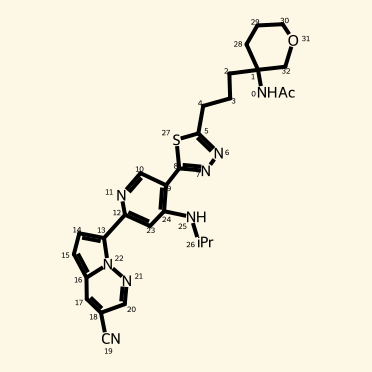 CC(=O)NC1(CCCc2nnc(-c3cnc(-c4ccc5cc(C#N)cnn45)cc3NC(C)C)s2)CCCOC1